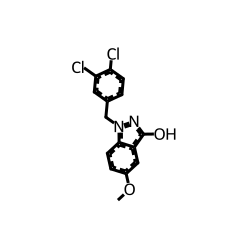 COc1ccc2c(c1)c(O)nn2Cc1ccc(Cl)c(Cl)c1